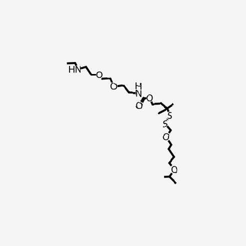 CCNCCOCCOCCNC(=O)OCCC(C)(C)SSCOCCCCOC(C)C